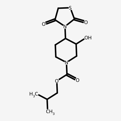 CC(C)COC(=O)N1CCC(N2C(=O)CSC2=O)C(O)C1